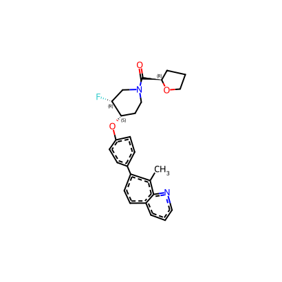 Cc1c(-c2ccc(O[C@H]3CCN(C(=O)[C@H]4CCCO4)C[C@H]3F)cc2)ccc2cccnc12